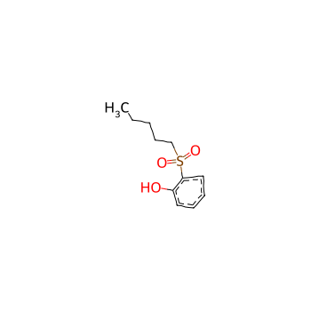 CCCCCS(=O)(=O)c1ccccc1O